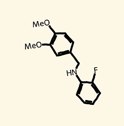 COc1ccc(CNc2ccccc2F)cc1OC